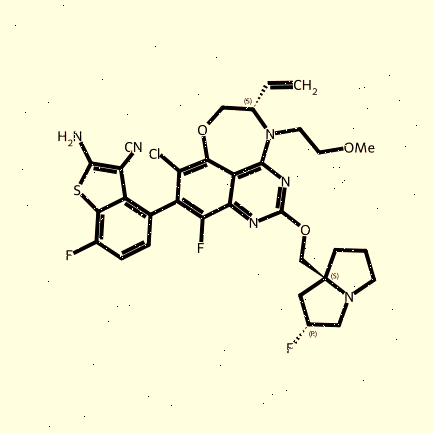 C=C[C@H]1COc2c(Cl)c(-c3ccc(F)c4sc(N)c(C#N)c34)c(F)c3nc(OC[C@@]45CCCN4C[C@H](F)C5)nc(c23)N1CCOC